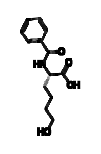 O=C(N[C@@H](CCCCO)C(=O)O)c1ccccc1